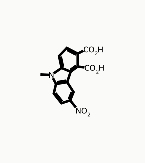 Cn1c2ccc([N+](=O)[O-])cc2c2c(C(=O)O)c(C(=O)O)ccc21